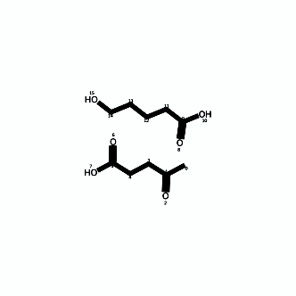 CC(=O)CCC(=O)O.O=C(O)CCCCO